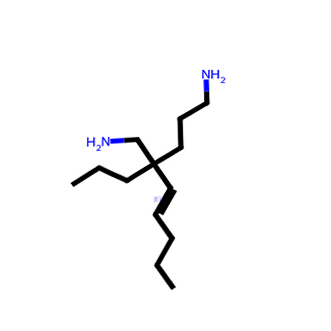 CCC/C=C/C(CN)(CCC)CCCN